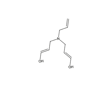 C=CCN(CC=CO)CC=CO